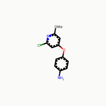 COc1cc(Oc2ccc(N)cc2)cc(Cl)n1